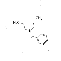 CCCN(CCC)Sc1[c]cccc1